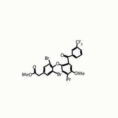 COC(=O)Cc1cc(Br)c(Oc2cc(C(C)C)c(OC)cc2C(=O)c2cccc(C(F)(F)F)c2)c(Br)c1